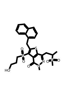 CC(Cc1nn(C)c(=O)c2c(S(=O)(=O)CCCO)c(Cc3cccc4ccccc34)sc12)S(C)(=O)=O